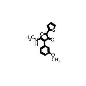 CNC1=C(c2cccc(OC)c2)C(=O)C(c2cccs2)O1